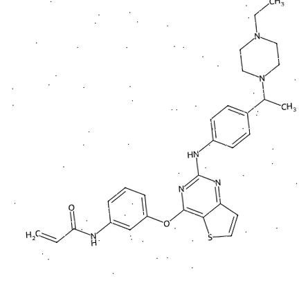 C=CC(=O)Nc1cccc(Oc2nc(Nc3ccc(C(C)N4CCN(CC)CC4)cc3)nc3ccsc23)c1